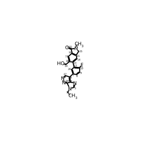 CCn1cnc2c(-c3ccc(F)c(-c4cc5c(cc4CO)C(=O)N(C)C5)c3)cnnc21